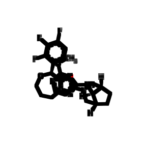 COc1cc(N2C[C@H]3CC[C@@H](C2)[C@@H]3Nc2nc3n(n2)CCCO[C@H]3c2ccc(F)c(F)c2F)ccn1